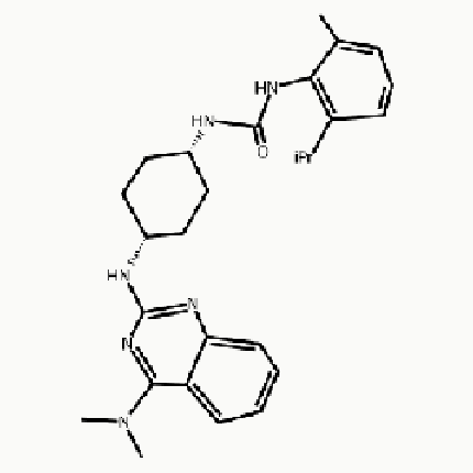 Cc1cccc(C(C)C)c1NC(=O)N[C@H]1CC[C@@H](Nc2nc(N(C)C)c3ccccc3n2)CC1